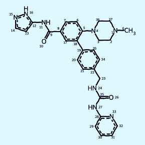 CN1CCN(c2ccc(C(=O)Nc3ccn[nH]3)cc2-c2ccc(CNC(=O)Nc3ccccn3)cc2)CC1